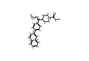 CCC(=O)N1CCC(/C(=N/OC)c2ccc(-c3cnc4ccccc4c3)cc2)CC1